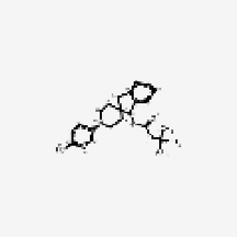 CC(C)(C)OC(=O)N[C@@H]1c2ccccc2CC12CCN(c1ccc(S)nc1)CC2